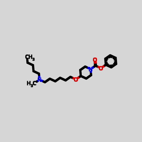 CCCCCN(C)CCCCCCOC1CCN(C(=O)Oc2ccccc2)CC1